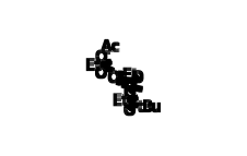 CCC(C)(OCC(C)=O)C(=O)COC(C)(C)C(C)(CC)C(=O)C(C)OC(C)(CC)C(=O)C(C)(C)C